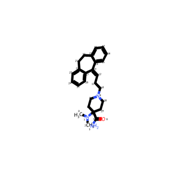 CN(C)C1(C(N)=O)CCN(CCC=C2c3ccccc3CCc3ccccc32)CC1